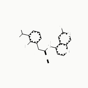 C=C=C(Nc1ccnc2cnc(Cl)cc12)[C@H](C)c1cccc(C(F)F)c1F